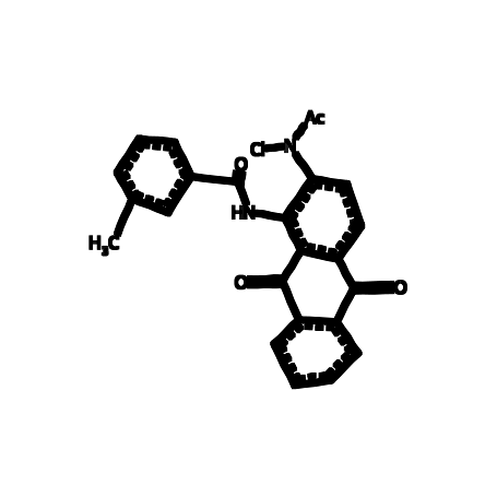 CC(=O)N(Cl)c1ccc2c(c1NC(=O)c1cccc(C)c1)C(=O)c1ccccc1C2=O